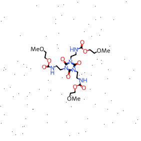 COCCOC(=O)NCCn1c(=O)n(CCNC(=O)OCCOC)c(=O)n(CCNC(=O)OCCOC)c1=O